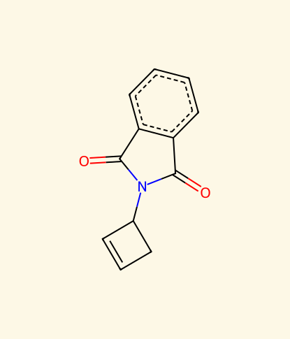 O=C1c2ccccc2C(=O)N1C1C=CC1